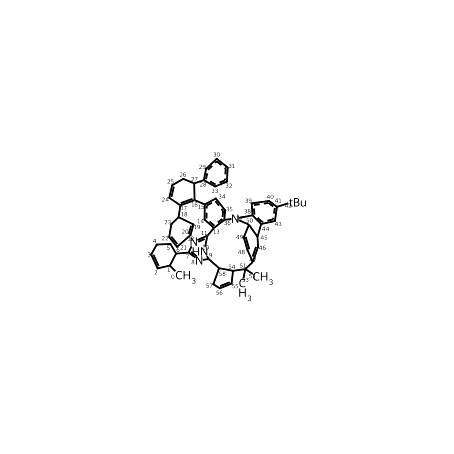 CC1C=CCCC1C1=NC2NC(=N1)c1cc(C3=C(C4C=CC=CC4)C=CCC3c3ccccc3)ccc1N1c3ccc(C(C)(C)C)cc3C3C=C(C=CC31)C(C)(C)C1C=CCC21